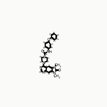 Cn1c(=O)n(C)c2cc3c(N4CCN(C(=O)Nc5ccc(Oc6ccccc6)cc5)CC4)ncnc3cc21